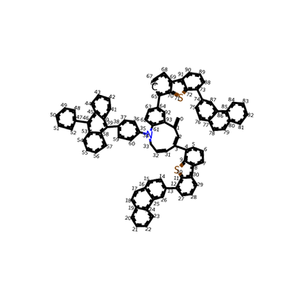 C=C1/C=C(c2cccc3c2sc2c(-c4ccc5ccc6ccccc6c5c4)cccc23)\C=C/CN(c2ccc(-c3c4ccccc4c(-c4ccccc4)c4ccccc34)cc2)c2ccc(-c3cccc4c3sc3c(-c5ccc6ccc7ccccc7c6c5)cccc34)cc21